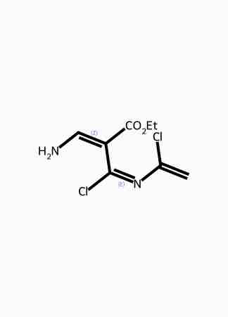 C=C(Cl)/N=C(Cl)\C(=C/N)C(=O)OCC